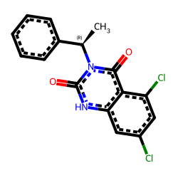 C[C@H](c1ccccc1)n1c(=O)[nH]c2cc(Cl)cc(Cl)c2c1=O